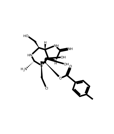 Cc1ccc(C(=O)O[C@H]2[C@H](CCl)N3[C@H](N)N[C@@H](CO)[C@@H]4NC(=N)N[C@@]43C2(O)O)cc1